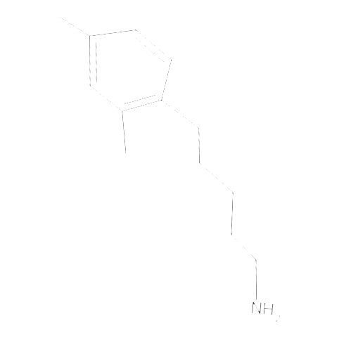 Cc1ccc(CCCCCN)c(C)c1